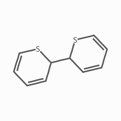 C1=CSC(C2C=CC=CS2)C=C1